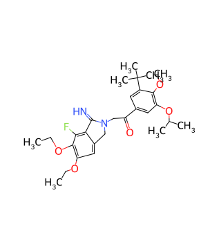 CCOc1cc2c(c(F)c1OCC)C(=N)N(CC(=O)c1cc(OC(C)C)c(OC)c(C(C)(C)C)c1)C2